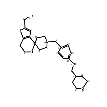 CCc1cc2c(s1)CCOC21CCN(Cc2ccc(NCC3CCOCC3)nc2)CC1